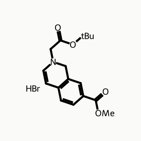 Br.COC(=O)c1ccc2c(c1)CN(CC(=O)OC(C)(C)C)C=C2